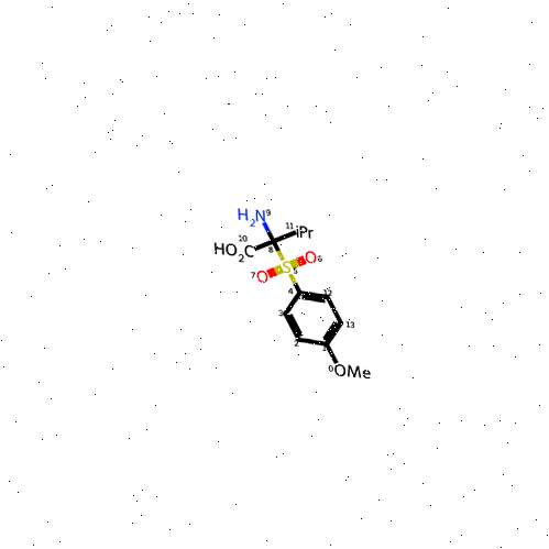 COc1ccc(S(=O)(=O)C(N)(C(=O)O)C(C)C)cc1